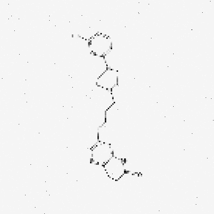 O=C1CCc2ccc(OCCCN3CCN(c4cccc(O)c4)CC3)cc2N1